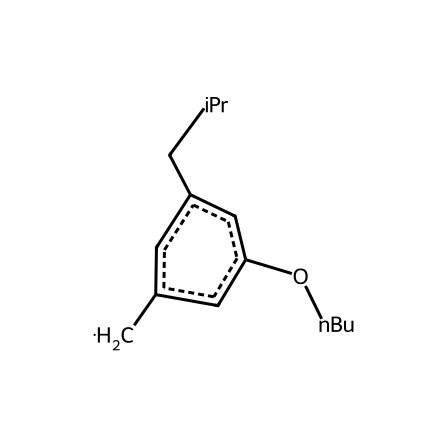 [CH2]c1cc(CC(C)C)cc(OCCCC)c1